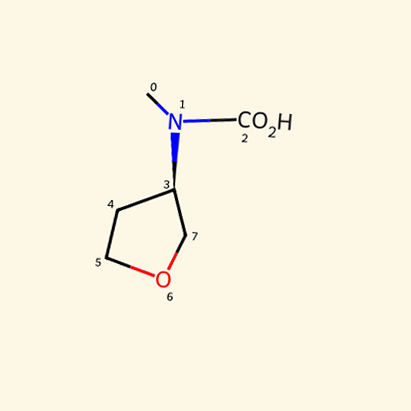 CN(C(=O)O)[C@@H]1CCOC1